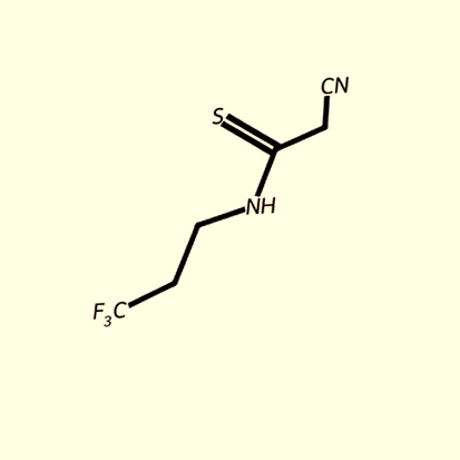 N#CCC(=S)NCCC(F)(F)F